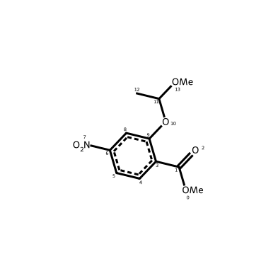 COC(=O)c1ccc([N+](=O)[O-])cc1OC(C)OC